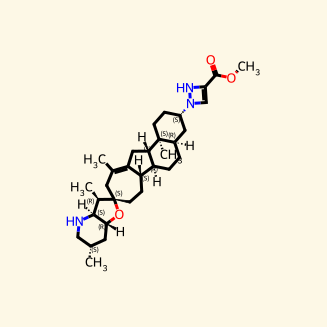 COC(=O)c1cn([C@H]2CC[C@@]3(C)[C@H](CC[C@H]4[C@@H]5CC[C@@]6(CC(C)=C5C[C@@H]43)O[C@@H]3C[C@H](C)CN[C@H]3[C@H]6C)C2)[nH]1